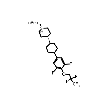 CCCCC[Si@H]1CC[C@H](C2CCC(c3cc(F)c(OCC(F)(F)C(F)(F)F)c(F)c3)CC2)CC1